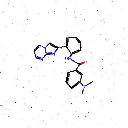 CN(C)c1cccc(C(=O)Nc2ccccc2-c2cn3cccnc3n2)c1